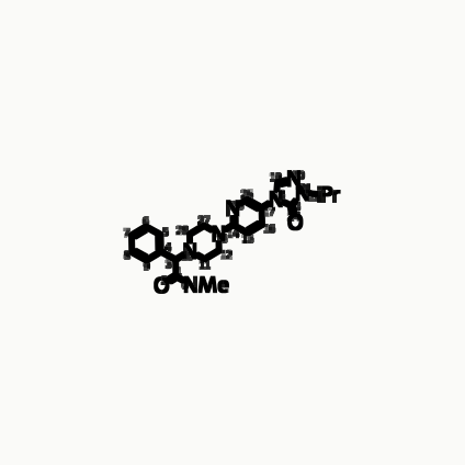 CNC(=O)C(c1ccccc1)N1CCN(c2ccc(-n3cnn(C(C)C)c3=O)cn2)CC1